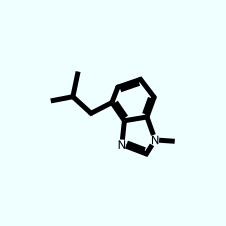 CC(C)Cc1cccc2c1ncn2C